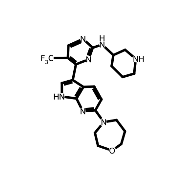 FC(F)(F)c1cnc(NC2CCCNC2)nc1-c1c[nH]c2nc(N3CCCOCC3)ccc12